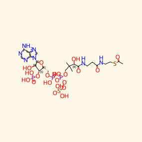 CC(=O)SCCNC(=O)CCNC(=O)[C@H](O)C(C)(C)COP(=O)(O)OP(=O)(O)OC[C@H]1O[C@@H](n2cnc3c(N)ncnc32)[C@H](O)[C@@H]1OP(=O)(O)O.O=S(=O)(O)O